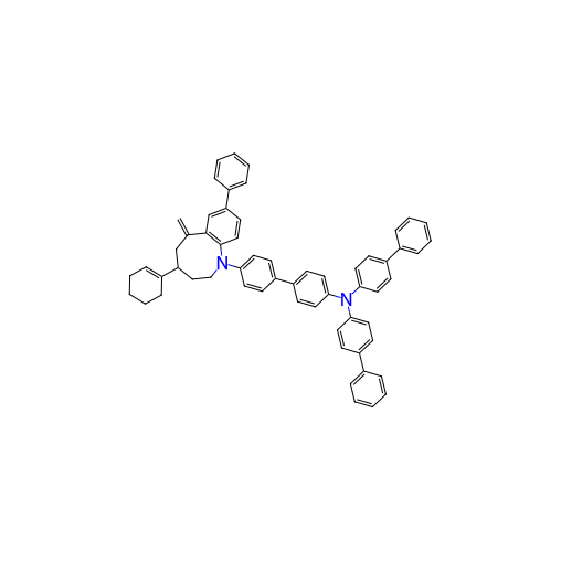 C=C1CC(C2=CCCCC2)CCN(c2ccc(-c3ccc(N(c4ccc(-c5ccccc5)cc4)c4ccc(-c5ccccc5)cc4)cc3)cc2)c2ccc(-c3ccccc3)cc21